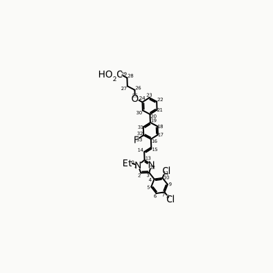 CCn1cc(-c2ccc(Cl)cc2Cl)nc1C=Cc1ccc(-c2cccc(OCCCC(=O)O)c2)cc1F